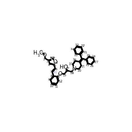 COCc1cc(/C=C/c2ccccc2OCC(O)CN2CCC(=C(c3ccccc3)c3ccccc3)CC2)on1